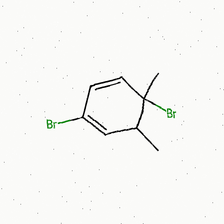 CC1C=C(Br)C=CC1(C)Br